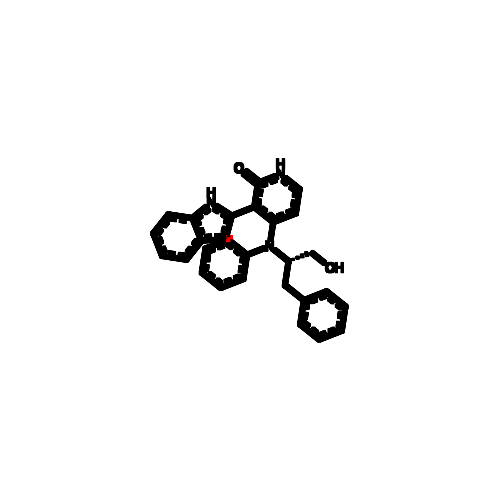 O=c1[nH]ccc(N(c2ccccc2)[C@H](CO)Cc2ccccc2)c1-c1nc2ccccc2[nH]1